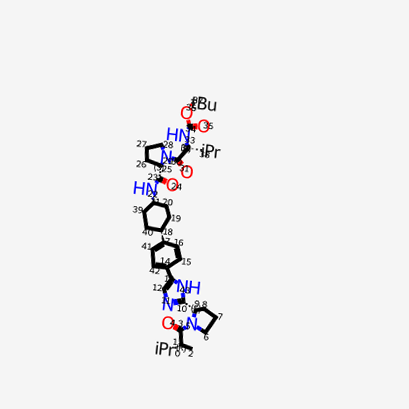 CC(C)[C@@H](C)C(=O)N1CCC[C@H]1c1ncc(-c2ccc([C@H]3CC[C@@H](NC(=O)[C@@H]4CCCN4C(=O)[C@H](NC(=O)OC(C)(C)C)C(C)C)CC3)cc2)[nH]1